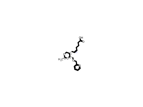 C[C@@H]1OC[C@H](C/C=C\CCCC(=O)O)[C@H](COCc2ccccn2)O1